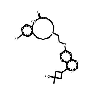 CC1(O)CC(c2ncnc3cc(OCCN4CCCC(=O)Nc5ccc(Cl)cc5CCC4)cnc23)C1